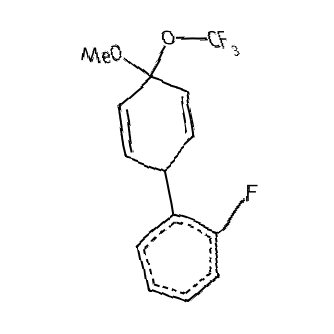 COC1(OC(F)(F)F)C=CC(c2ccccc2F)C=C1